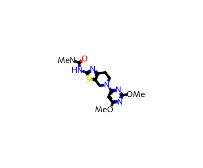 CNC(=O)Nc1nc2c(s1)CN(c1cc(OC)nc(OC)n1)CC2